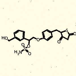 NS(=O)(=O)OC(COc1ccc(CC2SC(=O)CC2=O)cc1)c1cccc(CO)c1